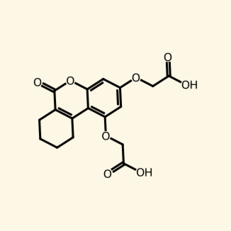 O=C(O)COc1cc(OCC(=O)O)c2c3c(c(=O)oc2c1)CCCC3